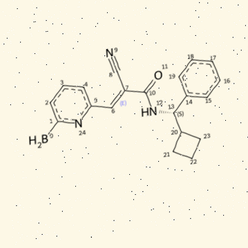 Bc1cccc(/C=C(\C#N)C(=O)N[C@H](c2ccccc2)C2CCC2)n1